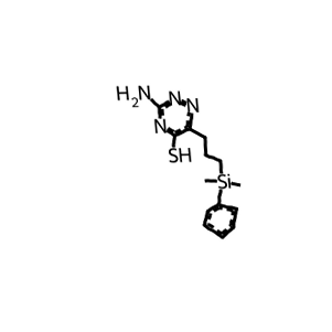 C[Si](C)(CCCc1nnc(N)nc1S)c1ccccc1